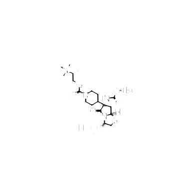 CC(C)(C)OC(=O)N[C@]1(C2CCN(C(=O)OCC[Si](C)(C)C)CC2)C[C@@H]2SC[C@@H](C(=O)O)N2C1=O